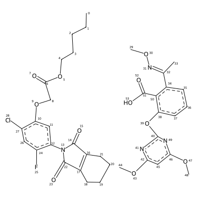 CCCCCOC(=O)COc1cc(N2C(=O)C3=C(CCCC3)C2=O)c(F)cc1Cl.CON=C(C)c1cccc(Oc2nc(OC)cc(OC)n2)c1C(=O)O